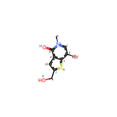 Cn1cc(Br)c2sc(CO)cc2c1=O